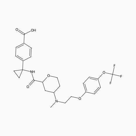 CN(CCOc1ccc(OC(F)(F)F)cc1)C1CCOC(C(=O)NC2(c3ccc(C(=O)O)cc3)CC2)C1